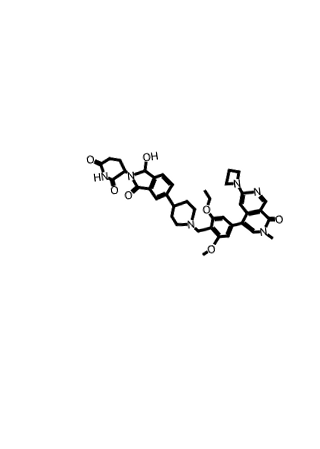 CCOc1cc(-c2cn(C)c(=O)c3cnc(N4CCC4)cc23)cc(OC)c1CN1CCC(c2ccc3c(c2)C(=O)N(C2CCC(=O)NC2=O)C3O)CC1